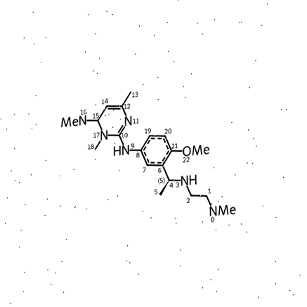 CNCCN[C@@H](C)c1cc(NC2=NC(C)=CC(NC)N2C)ccc1OC